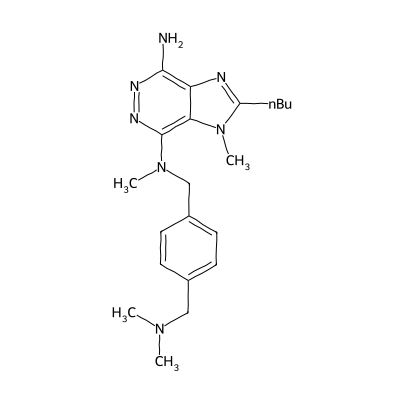 CCCCc1nc2c(N)nnc(N(C)Cc3ccc(CN(C)C)cc3)c2n1C